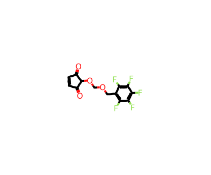 O=C1C=CC(=O)C1OCOCc1c(F)c(F)c(F)c(F)c1F